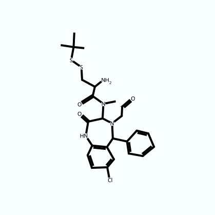 CN(C(=O)C(N)CSSC(C)(C)C)C1C(=O)Nc2ccc(Cl)cc2C(c2ccccc2)N1C[C]=O